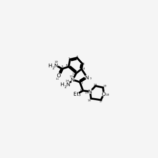 CCC(c1nc2cccc(C(N)=O)c2n1N)N1CCOCC1